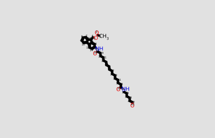 CC(=O)OCC1c2ccccc2-c2ccc(NC(=O)CCCCCCCCCCCCCCCC(=O)NCCCCCC=O)cc21